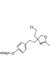 CCCCCCCOc1ccc(CCC2(CCCl)COC(C)=N2)cc1